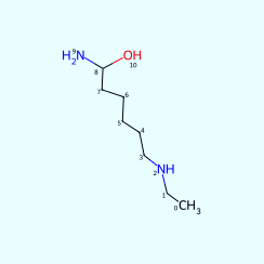 CCNCCCCCC(N)O